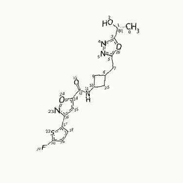 C[C@@H](O)c1nnc(CC2CC(NC(=O)c3cc(-c4ccc(F)s4)no3)C2)o1